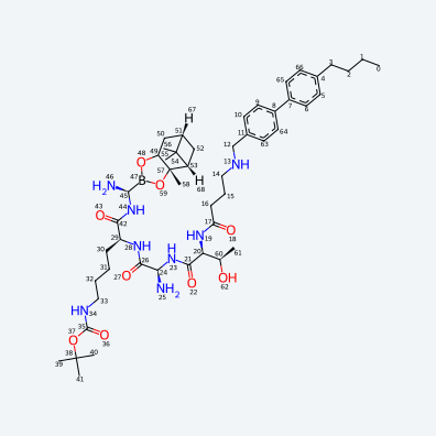 CCCCc1ccc(-c2ccc(CNCCCC(=O)N[C@H](C(=O)N[C@@H](N)C(=O)N[C@@H](CCCCNC(=O)OC(C)(C)C)C(=O)N[C@@H](N)B3OC4C[C@@H]5C[C@@H](C5(C)C)[C@]4(C)O3)[C@@H](C)O)cc2)cc1